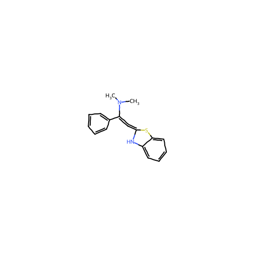 CN(C)C(=C=C1Nc2ccccc2S1)c1ccccc1